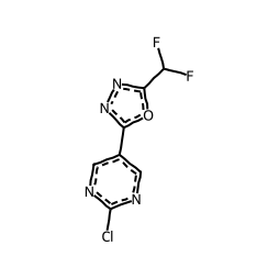 FC(F)c1nnc(-c2cnc(Cl)nc2)o1